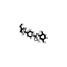 CCc1csc(C2CCN(/C(=N/c3cc(C)ccc3C)OC)CC2)n1